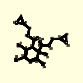 O=C(OCC1CO1)C1C(Br)=C(Br)C=C(Br)C1(Br)C(=O)OCC1CO1